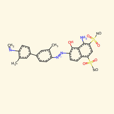 C=Nc1ccc(-c2ccc(/N=N/c3ccc4c(S(=O)(=O)N=O)cc(S(=O)(=O)N=O)c(N)c4c3O)c(C)c2)cc1C